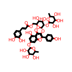 CC1OC(O[C@H]2C(O)[C@H](O)C(COC(=O)/C=C/c3ccc(O)c(O)c3)O[C@H]2Oc2c(-c3ccc(O)cc3)oc3cc(O[C@@H]4OC(C)[C@H](O)C(O)[C@@H]4O)cc(O)c3c2=O)[C@@H](O)C(O)[C@H]1O